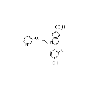 O=C(O)c1cc2c(cc(-c3ccc(O)cc3C(F)(F)F)n2CCCOc2cccnc2)s1